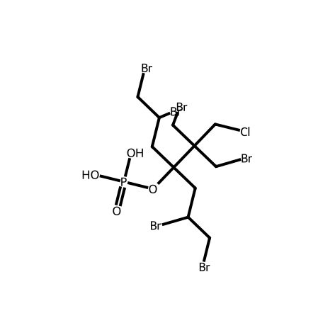 O=P(O)(O)OC(CC(Br)CBr)(CC(Br)CBr)C(CCl)(CBr)CBr